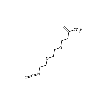 C=C(CCOCCOCCN=C=O)C(=O)O